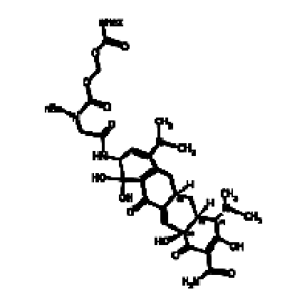 CCCCCCC(=O)OCOC(=O)N(CCCC)CC(=O)NC1C=C(N(C)C)C2=C(C(=O)C3=C[C@@]4(O)C(=O)C(C(N)=O)=C(O)[C@@H](N(C)C)[C@@H]4C[C@@H]3C2)C1(O)O